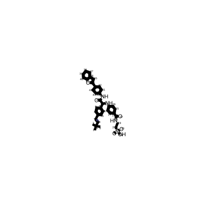 CC(C)(C)/C=C/c1ccc(C(Nc2ccc(C(=O)NCCS(=O)(=O)O)cc2)C(=O)Nc2ccc(-c3cc4ccccc4o3)cc2)cc1